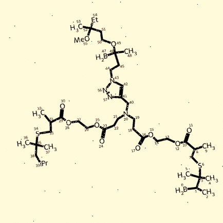 BC(C)C(C)(C)SCC(C)C(=O)OCCOC(=O)CCN(CCC(=O)OCCOC(=O)C(C)CSC(C)(C)CC(C)C)Cc1cn(CCC(B)(C)OCCC(C)(CC)OC)nn1